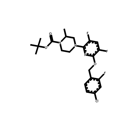 CC1CN(c2nc(OCc3ccc(Cl)cc3F)c(F)cc2F)CCN1C(=O)OC(C)(C)C